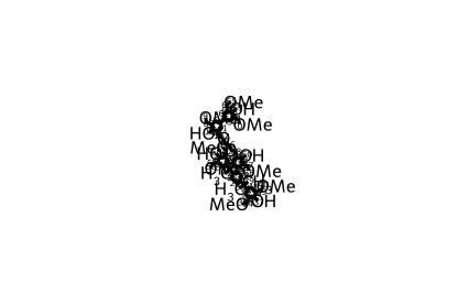 COCc1cc(-c2cc(COC)c(O)c(COCCOCc3cc(C(C)(c4ccc(C(C)(C)c5cc(COC)c(O)c(COC)c5)cc4)c4cc(COC)c(O)c(COC)c4)cc(COC)c3O)c2)cc(COC)c1O